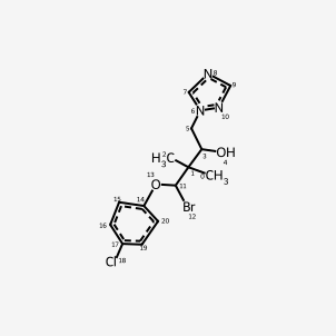 CC(C)(C(O)Cn1cncn1)C(Br)Oc1ccc(Cl)cc1